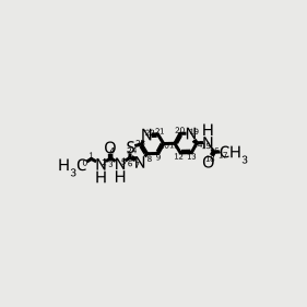 CCNC(=O)Nc1nc2cc(-c3ccc(NC(C)=O)nc3)cnc2s1